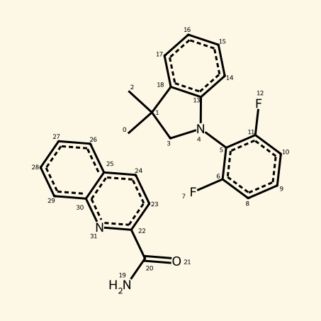 CC1(C)CN(c2c(F)cccc2F)c2ccccc21.NC(=O)c1ccc2ccccc2n1